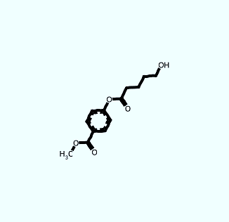 COC(=O)c1ccc(OC(=O)CCCCO)cc1